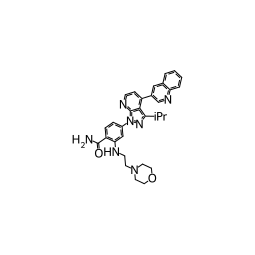 CC(C)c1nn(-c2ccc(C(N)=O)c(NCCN3CCOCC3)c2)c2nccc(-c3cnc4ccccc4c3)c12